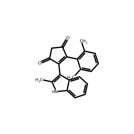 Cc1cccc(C)c1C1=C(c2c(C)[nH]c3ccccc23)C(=O)CC1=O